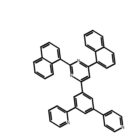 c1ccc(-c2cc(-c3ccncc3)cc(-c3cc(-c4cccc5ccccc45)nc(-c4cccc5ccccc45)n3)c2)nc1